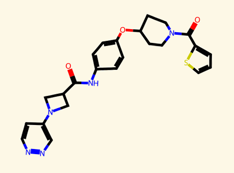 O=C(Nc1ccc(OC2CCN(C(=O)c3cccs3)CC2)cc1)C1CN(c2ccnnc2)C1